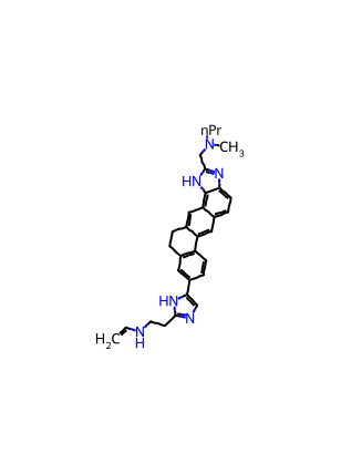 C=CNCCc1ncc(-c2ccc3c(c2)CCc2cc4c(ccc5nc(CN(C)CCC)[nH]c54)cc2-3)[nH]1